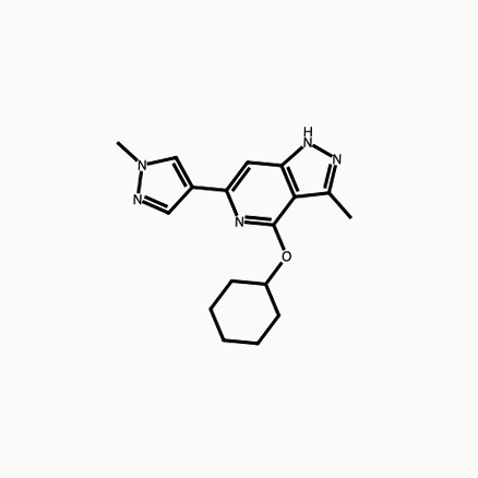 Cc1n[nH]c2cc(-c3cnn(C)c3)nc(OC3CCCCC3)c12